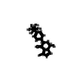 Cc1cnn2c1C(=O)N(c1ccc(S(F)(F)(F)(F)F)cc1)CC2C